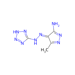 CC1=NN=C(N)/C1=N/Nc1nn[nH]n1